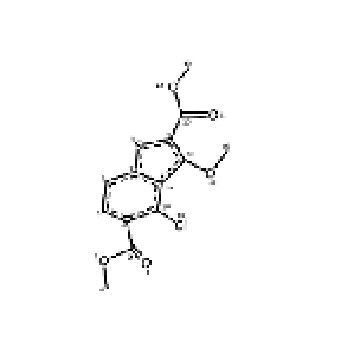 COC(=O)c1ccc2sc(C(=O)OC)c(OC)c2c1Cl